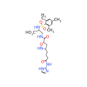 Cc1cc(C)c(S(=O)(=O)NC(CNC(=O)C2CC(CCCC(=O)Nc3ncc[nH]3)NO2)C(=O)O)c(C)c1